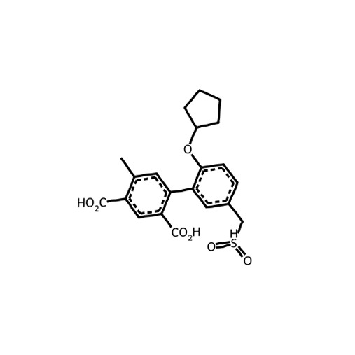 Cc1cc(-c2cc(C[SH](=O)=O)ccc2OC2CCCC2)c(C(=O)O)cc1C(=O)O